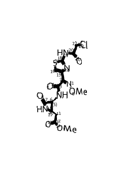 CON=C(C(=O)N[C@@H]1C(=O)N[C@@H]1CC(=O)OC)c1csc(NC(=O)CCl)n1